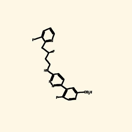 O=C(O)c1ccc(F)c(-c2ccc(NCC[C@H](F)Cc3ncccc3F)nn2)c1